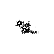 Cc1cccc2[nH]c(-c3cncc(C(=O)NCCO)c3N3CC[C@](C)(N)C3)nc12